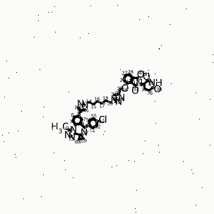 Cc1nnc2n1-c1ccc(-c3cnn(CCCCCCn4cc(COc5cccc6c5C(=O)N(C5CCC(=O)NC5=O)C6=O)nn4)c3)cc1C(c1ccc(Cl)cc1)=NC21CC1